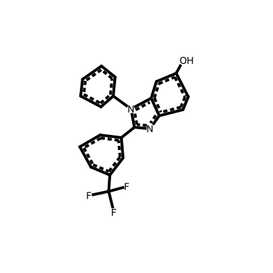 Oc1ccc2nc(-c3cccc(C(F)(F)F)c3)n(-c3ccccc3)c2c1